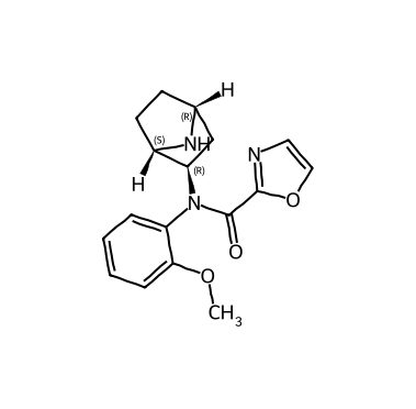 COc1ccccc1N(C(=O)c1ncco1)[C@@H]1C[C@H]2CC[C@@H]1N2